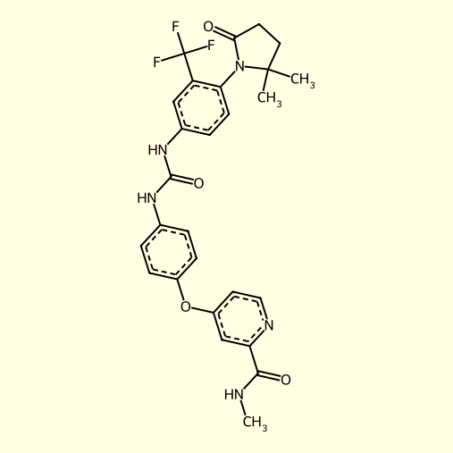 CNC(=O)c1cc(Oc2ccc(NC(=O)Nc3ccc(N4C(=O)CCC4(C)C)c(C(F)(F)F)c3)cc2)ccn1